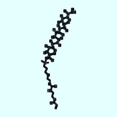 C=CC(=O)OCCNC(=O)OCCOCCC[Si](C)(C)O[Si](=O)[Si](=O)[Si](=O)[Si](=O)[Si](=O)[Si](=O)[Si](=O)[Si](=O)[Si](=O)[Si](=O)[Si](=O)[Si](=O)[Si](=O)[Si](=O)[Si](=O)[Si](=O)[Si](=O)[Si](=O)[SiH]=O